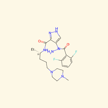 CC[C@@H](CCCN1CCN(C)CC1)NC(=O)c1n[nH]cc1N(N)C(=O)c1c(F)cccc1F